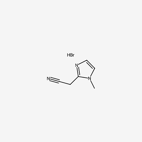 Br.Cn1ccnc1CC#N